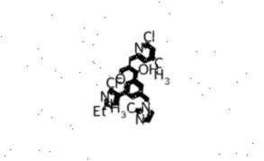 CCn1cc(-c2cc(Cn3ccnc3C)cc3c2OC[C@@H](Cc2cc(C)cc(Cl)n2)[C@H]3O)c(C(F)(F)F)n1